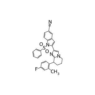 Cc1cc(F)ccc1C1CCCn2cc(-c3cc4cc(C#N)ccc4n3S(=O)(=O)c3ccccc3)nc21